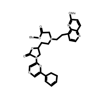 COc1ccc2nccc(CCN(CCC3CN(C4=COC=C(C5=CC=CCC5)O4)C(=O)O3)CC(=O)OC(C)(C)C)c2n1